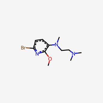 COc1nc(Br)ccc1N(C)CCN(C)C